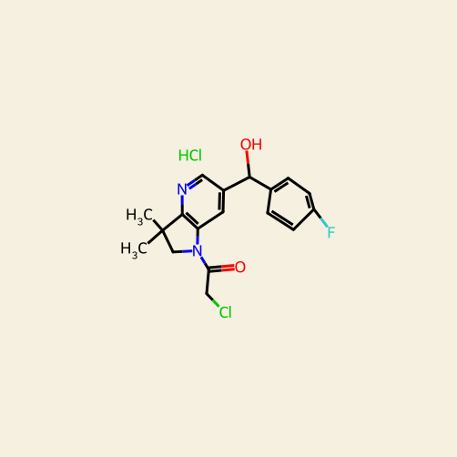 CC1(C)CN(C(=O)CCl)c2cc(C(O)c3ccc(F)cc3)cnc21.Cl